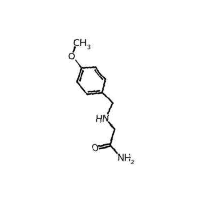 COc1ccc(CNCC(N)=O)cc1